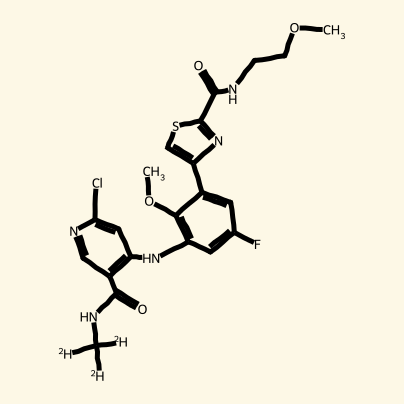 [2H]C([2H])([2H])NC(=O)c1cnc(Cl)cc1Nc1cc(F)cc(-c2csc(C(=O)NCCOC)n2)c1OC